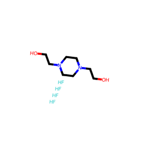 F.F.F.F.OCCN1CCN(CCO)CC1